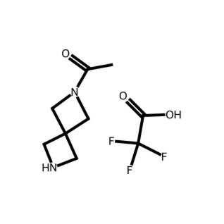 CC(=O)N1CC2(CNC2)C1.O=C(O)C(F)(F)F